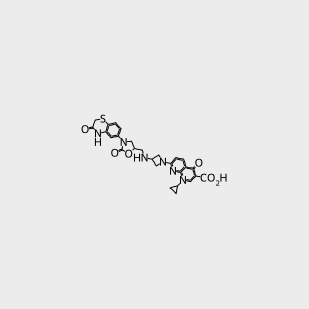 O=C1CSc2ccc(N3CC(CNC4CN(c5ccc6c(=O)c(C(=O)O)cn(C7CC7)c6n5)C4)OC3=O)cc2N1